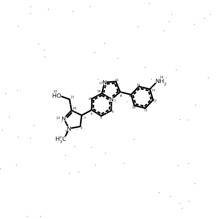 CN1CC(c2ccn3c(-c4cccc(N)c4)cnc3c2)C(CO)=N1